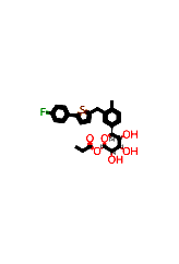 CCC(=O)O[C@@H]1O[C@@H](c2ccc(C)c(Cc3ccc(-c4ccc(F)cc4)s3)c2)[C@H](O)[C@@H](O)[C@@H]1O